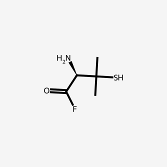 CC(C)(S)[C@H](N)C(=O)F